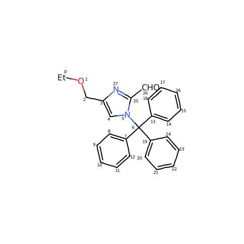 CCOCc1cn(C(c2ccccc2)(c2ccccc2)c2ccccc2)c(C=O)n1